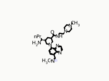 CCCC(N)[C@H]1CC(C(=O)NCCN2CCN(C)CC2)CN(c2ccc(/C=N\C)c3nccnc23)C1